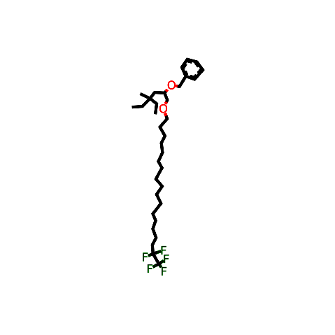 CCC(C)(CC)CC(COCCCCCCCCCCCCCCCCC(F)(F)C(F)(F)F)OCc1ccccc1